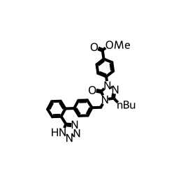 CCCCc1nn(-c2ccc(C(=O)OC)cc2)c(=O)n1Cc1ccc(-c2ccccc2-c2nnn[nH]2)cc1